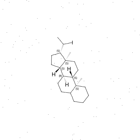 CC(I)[C@H]1CC[C@H]2[C@@H]3CCC4CCCC[C@]4(C)[C@H]3CC[C@]12C